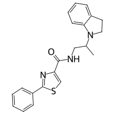 CC(CNC(=O)c1csc(-c2ccccc2)n1)N1CCc2ccccc21